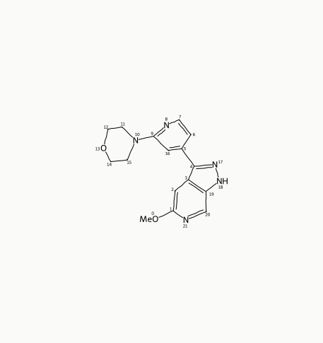 COc1cc2c(-c3ccnc(N4CCOCC4)c3)n[nH]c2cn1